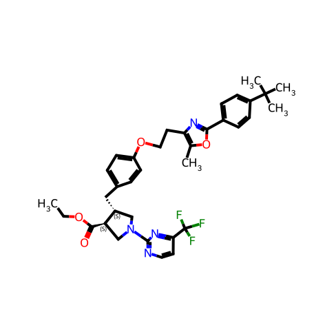 CCOC(=O)[C@@H]1CN(c2nccc(C(F)(F)F)n2)C[C@H]1Cc1ccc(OCCc2nc(-c3ccc(C(C)(C)C)cc3)oc2C)cc1